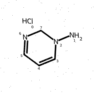 Cl.NN1C=CC=NC1